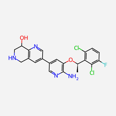 C[C@@H](Oc1cc(-c2cnc3c(c2)CNCC3O)cnc1N)c1c(Cl)ccc(F)c1Cl